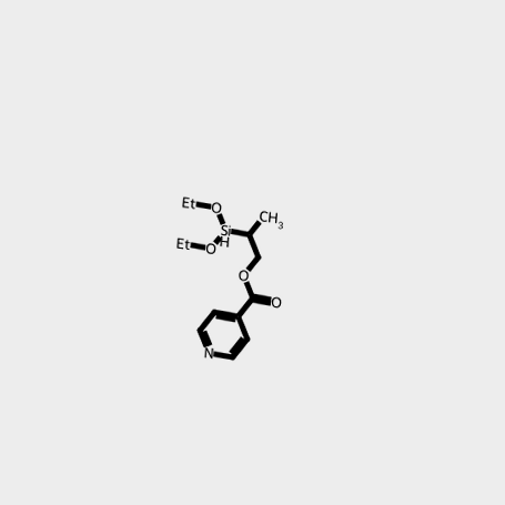 CCO[SiH](OCC)C(C)COC(=O)c1ccncc1